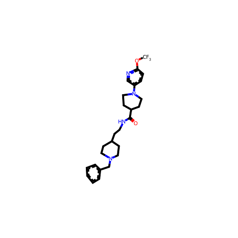 O=C(NCCC1CCN(Cc2ccccc2)CC1)C1CCN(c2ccc(OC(F)(F)F)nc2)CC1